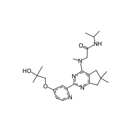 CC(C)NC(=O)CN(C)c1nc(-c2cc(OCC(C)(C)O)ccn2)nc2c1CC(C)(C)C2